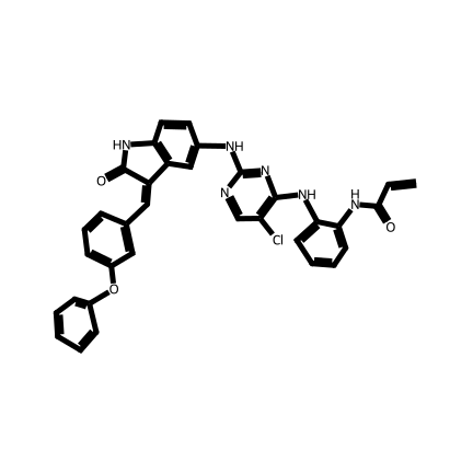 C=CC(=O)Nc1ccccc1Nc1nc(Nc2ccc3c(c2)/C(=C/c2cccc(Oc4ccccc4)c2)C(=O)N3)ncc1Cl